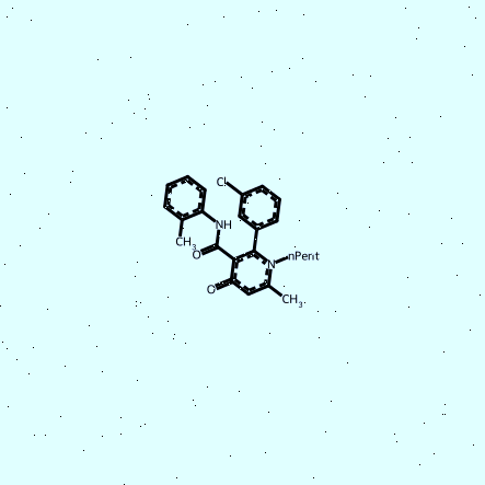 CCCCCn1c(C)cc(=O)c(C(=O)Nc2ccccc2C)c1-c1cccc(Cl)c1